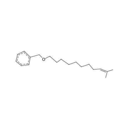 CC(C)=CCCCCCCCCOCc1ccccc1